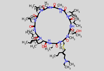 C/C=C/C[C@@H](C)[C@@H](O)[C@H]1C(=O)N[C@@H](CC)C(=O)N(C)[C@H](CSC/C(=C/CN(CC)CC)CCC)C(=O)N(C)[C@@H](CC(C)(C)O)C(=O)N[C@@H](C(C)C)C(=O)N(C)[C@@H](CC(C)C)C(=O)N[C@@H](C)C(=O)N[C@H](C)C(=O)N(C)[C@@H](CC(C)C)C(=O)N(C)[C@@H](CC(C)C)C(=O)N(C)[C@@H](C(C)C)C(=O)N1C